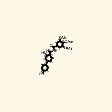 COc1cc(C(=O)Nc2n[nH]c3cc(-c4ccc(C(C)C)cc4)ccc23)cc(OC)c1OC